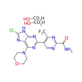 NC(=O)c1ncc(-c2nc(N3CCOCC3)c3nc(Cl)[nH]c3n2)c(C(F)(F)F)n1.O=C(O)O.O=C(O)O